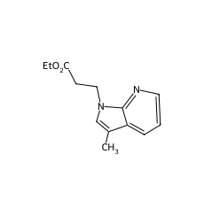 CCOC(=O)CCn1cc(C)c2cccnc21